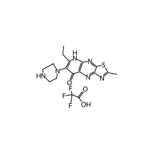 CCc1[nH]c2nc3sc(C)nc3nc2c(=O)c1N1CCNCC1.O=C(O)C(F)(F)F